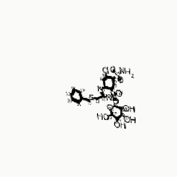 NS(=O)(=O)c1cc2c(cc1Cl)N=C(CSCc1ccccc1)NS2(=O)=O.OC1OC[C@@H](O)[C@H](O)[C@H]1O